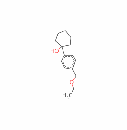 CCOCc1ccc(C2(O)CCCCC2)cc1